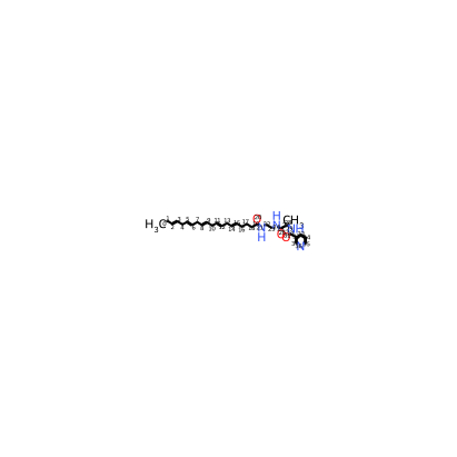 CCC=CCC=CCC=CCC=CCC=CCCCC(=O)NCCNC(=O)C(C)NC(=O)c1cccnc1